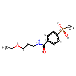 CCOCCCNC(=O)c1ccc(S(C)(=O)=O)cc1